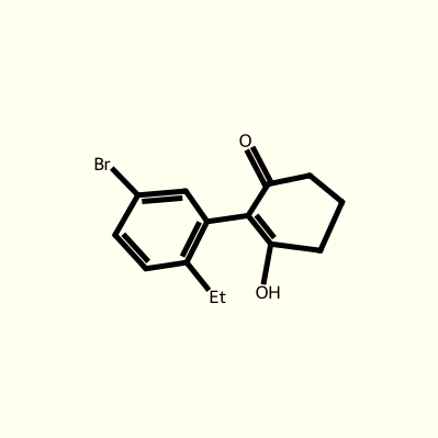 CCc1ccc(Br)cc1C1=C(O)CCCC1=O